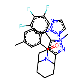 Cc1ccc(-n2nccn2)c(C(=O)N2C3CCCC2c2nn(C)c(-c4cc(F)c(F)c(F)c4)c2C3)c1